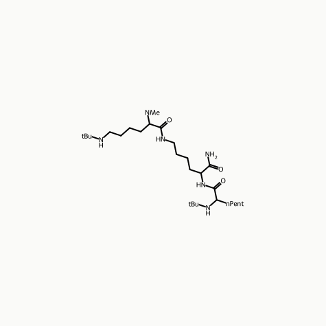 CCCCCC(NC(C)(C)C)C(=O)NC(CCCCNC(=O)C(CCCCNC(C)(C)C)NC)C(N)=O